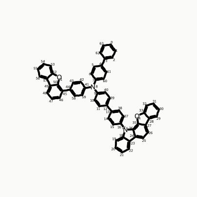 c1ccc(-c2ccc(N(c3ccc(-c4ccc(-n5c6ccccc6c6ccc7c8ccccc8oc7c65)cc4)cc3)c3ccc(-c4cccc5c4oc4ccccc45)cc3)cc2)cc1